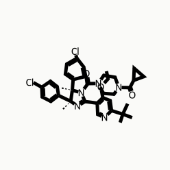 CCOc1cc(C(C)(C)C)ncc1C1=N[C@@](C)(c2ccc(Cl)cc2)[C@@](C)(c2ccc(Cl)cc2)N1C(=O)N1CCN(C(=O)C2CC2)CC1